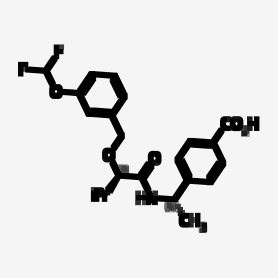 CC(C)[C@@H](OCc1cccc(OC(F)F)c1)C(=O)N[C@@H](C)c1ccc(C(=O)O)cc1